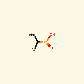 CCCCC(C(C)=O)[PH](=O)O